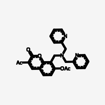 CC(=O)Oc1ccc2cc(C(C)=O)c(=O)oc2c1CN(Cc1ccccn1)Cc1ccccn1